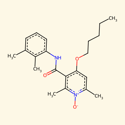 CCCCCOc1cc(C)[n+]([O-])c(C)c1C(=O)Nc1cccc(C)c1C